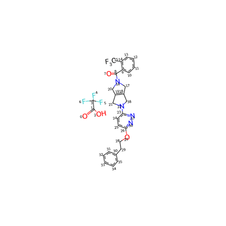 O=C(O)C(F)(F)F.O=C(c1ccccc1C(F)(F)F)N1CC2=C(C1)CN(c1ccc(OCCc3ccccc3)nn1)C2